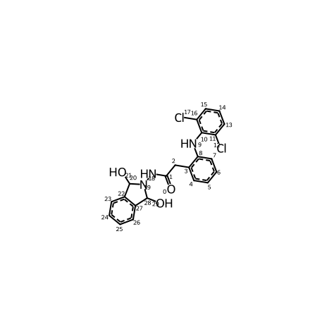 O=C(Cc1ccccc1Nc1c(Cl)cccc1Cl)NN1C(O)c2ccccc2C1O